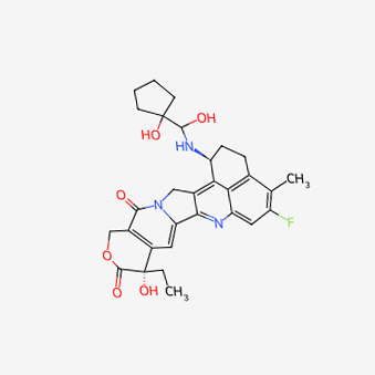 CC[C@@]1(O)C(=O)OCc2c1cc1n(c2=O)Cc2c-1nc1cc(F)c(C)c3c1c2[C@@H](NC(O)C1(O)CCCC1)CC3